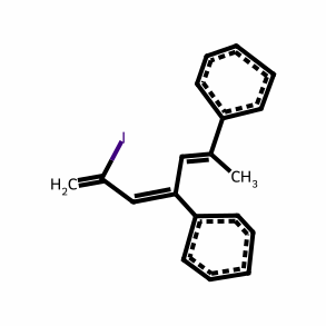 C=C(I)/C=C(\C=C(/C)c1ccccc1)c1ccccc1